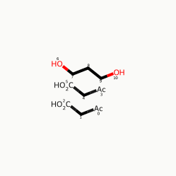 CC(=O)CC(=O)O.CC(=O)CC(=O)O.OCCCO